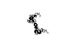 COc1ccc2nccc(-n3cc4c(n3)CCC(NC(=O)c3cc(NC(C)=O)ccc3Br)C4)c2n1